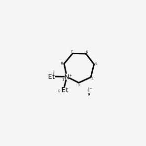 CC[N+]1(CC)CCCCCC1.[I-]